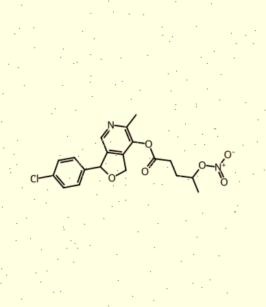 Cc1ncc2c(c1OC(=O)CCC(C)O[N+](=O)[O-])COC2c1ccc(Cl)cc1